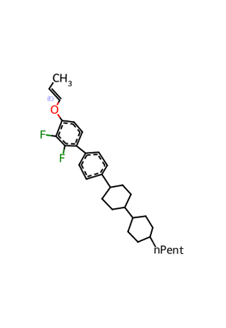 C/C=C/Oc1ccc(-c2ccc(C3CCC(C4CCC(CCCCC)CC4)CC3)cc2)c(F)c1F